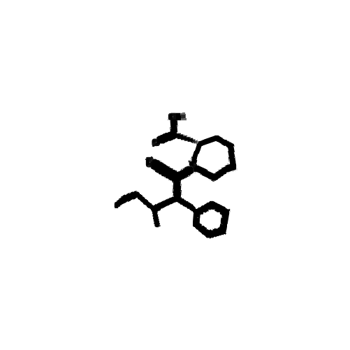 CCC(C)C(C(=O)N1CCCC[C@H]1C(=O)O)c1ccccc1